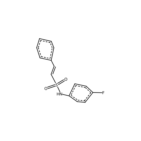 O=S(=O)(C=Cc1ccccc1)Nc1ccc(F)cc1